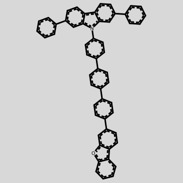 c1ccc(-c2ccc3c4ccc(-c5ccccc5)cc4n(-c4ccc(-c5ccc(-c6ccc(-c7ccc8c(c7)oc7ccccc78)cc6)cc5)cc4)c3c2)cc1